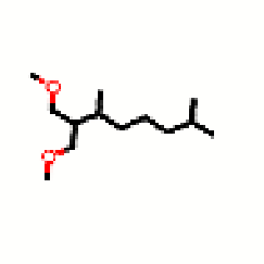 COCC(COC)C(C)CCCC(C)C